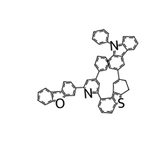 C1=C(c2ccc3c(c2)c2ccccc2n3-c2ccccc2)CCc2sc3cccc(-c4cc(-c5ccccc5)cc(-c5ccc6c(c5)oc5ccccc56)n4)c3c21